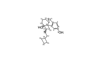 CCc1ccc(O)cc1C12CCCCC1(O)/C(=N/CC1CCC1)C2